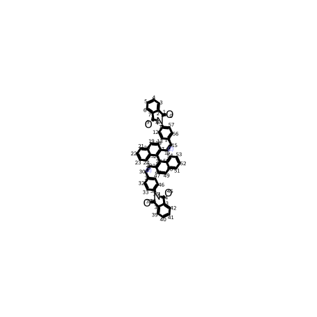 O=C1c2ccccc2C(=O)N1c1ccc(/C=C\c2ccc3ccccc3c2-c2c(/C=C\c3ccc(N4C(=O)c5ccccc5C4=O)cc3)ccc3ccccc23)cc1